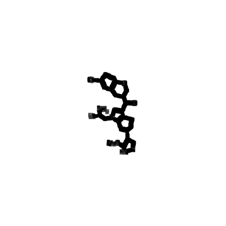 CC[C@@H](N)Cn1cc(C(=O)C2COc3ccc(Cl)cc3C2)c2ccc(-c3cn[nH]c3OC)cc21